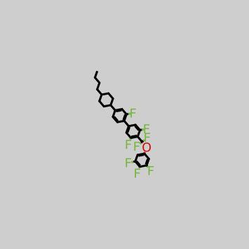 CCCCC1CCC(c2ccc(-c3cc(F)c(C(F)(F)Oc4cc(F)c(F)c(F)c4)c(F)c3)c(F)c2)CC1